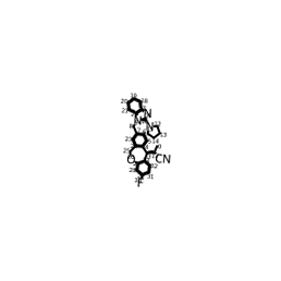 CC(C#N)=C1c2ccc(Cn3c(N4CCCC4)nc4ccccc43)cc2COc2cc(F)ccc21